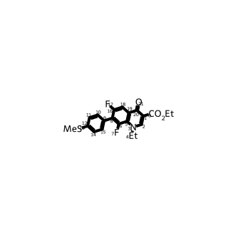 CCOC(=O)c1cn(CC)c2c(F)c(-c3ccc(SC)cc3)c(F)cc2c1=O